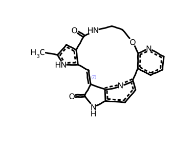 Cc1cc2c([nH]1)/C=C1\C(=O)Nc3ccc(nc31)-c1cccnc1OCCNC2=O